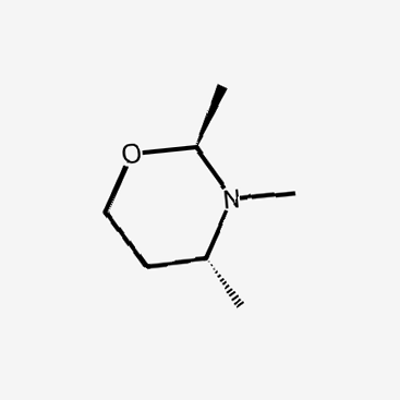 C[C@@H]1CCO[C@@H](C)N1C